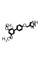 COc1cc(OC)cc(-c2ccc(OCc3c[nH]nn3)cc2)c1